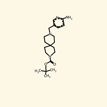 CC(C)(C)OC(=O)N1CCC2(CCN(Cc3ccc(N)nc3)CC2)CC1